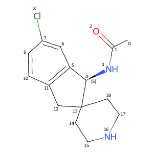 CC(=O)N[C@@H]1c2cc(Cl)ccc2CC12CCNCC2